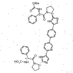 COC(=O)N[C@@H](C(=O)N1CCC[C@H]1c1ncc(-c2ccc(-c3ccc(-c4cnc([C@@H]5CCCN5C(=O)[C@H](NC(=O)O)c5ccccc5)[nH]4)nc3)cc2)[nH]1)c1ccccc1